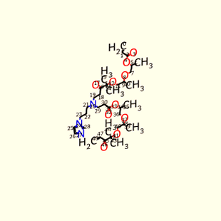 C=CC(=O)OC(C)COC(C)COC(C)(C)C(=O)CCN(CCCn1ccnc1)CCC(=O)OC(C)COC(C)COC(C)(C)C(=O)C=C